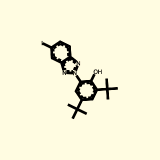 CC(C)(C)c1cc(-n2nc3ccc(I)cc3n2)c(O)c(C(C)(C)C)c1